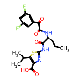 CCC[C@H](NC(=O)C(=O)c1cc(F)cc(F)c1)C(=O)Nc1nc(C(=O)O)c(C(C)C)s1